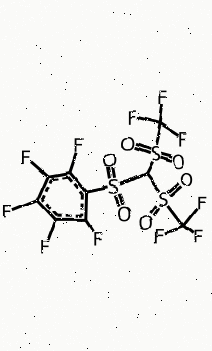 O=S(=O)(c1c(F)c(F)c(F)c(F)c1F)C(S(=O)(=O)C(F)(F)F)S(=O)(=O)C(F)(F)F